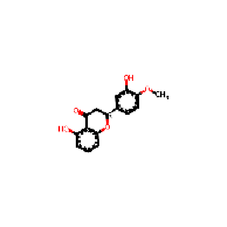 COc1ccc([C@@H]2CC(=O)c3c(O)cccc3O2)cc1O